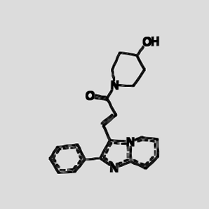 O=C(/C=C/c1c(-c2ccccc2)nc2ccccn12)N1CCC(O)CC1